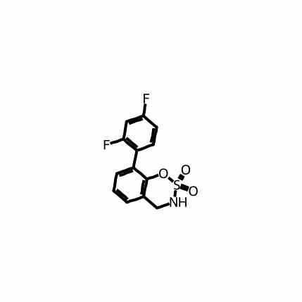 O=S1(=O)NCc2cccc(-c3ccc(F)cc3F)c2O1